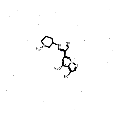 COc1cc(/C(C=N)=C/NC2CCCN(C)C2)cn2ncc(C#N)c12